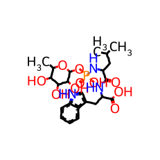 CC(C)CC(NP(=O)(O)OC1OC(C)C(O)C(O)C1O)C(=O)NC(Cc1c[nH]c2ccccc12)C(=O)O